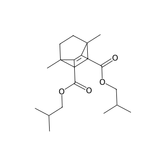 CC(C)COC(=O)C1=C(C(=O)OCC(C)C)C2(C)CCC1(C)CC2